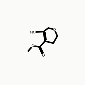 COC(=O)C1=C(O)COCC1